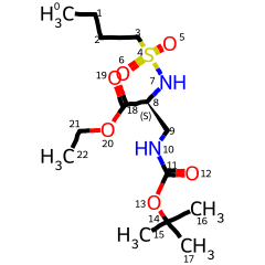 CCCCS(=O)(=O)N[C@@H](CNC(=O)OC(C)(C)C)C(=O)OCC